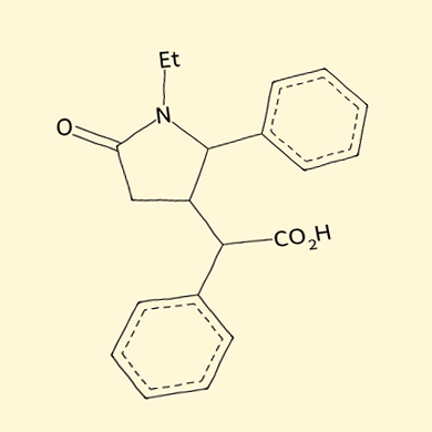 CCN1C(=O)CC(C(C(=O)O)c2ccccc2)C1c1ccccc1